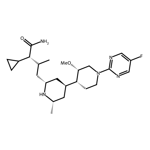 CO[C@@H]1CN(c2ncc(F)cn2)CC[C@@H]1[C@@H]1C[C@@H](CC(C)[C@@H](C(N)=O)C2CC2)N[C@@H](C)C1